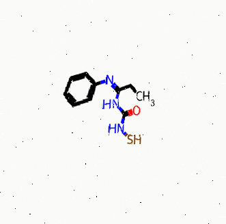 CCC(=Nc1ccccc1)NC(=O)NS